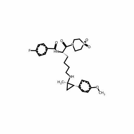 COc1ccc([C@@H]2C[C@@]2(C)NCCCC[C@H](NC(=O)c2ccc(F)cc2)C(=O)N2CCS(=O)(=O)CC2)cc1